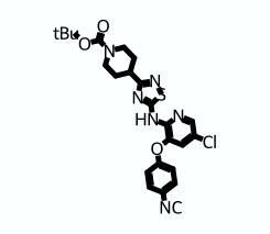 [C-]#[N+]c1ccc(Oc2cc(Cl)cnc2Nc2nc(C3CCN(C(=O)OC(C)(C)C)CC3)ns2)cc1